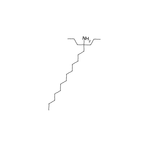 CCCCCCCCCCCCCC(N)(CCC)CCC